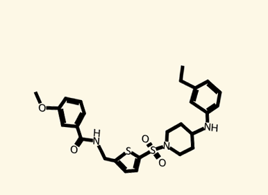 CCc1cccc(NC2CCN(S(=O)(=O)c3ccc(CNC(=O)c4cccc(OC)c4)s3)CC2)c1